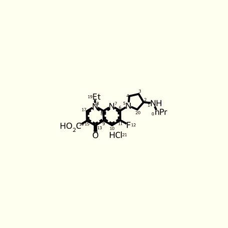 CCCNC1CCN(c2nc3c(cc2F)c(=O)c(C(=O)O)cn3CC)C1.Cl